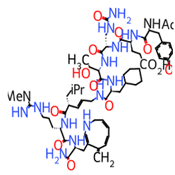 C=C1/C=C\C=C/CN/C=C\1C[C@H](NC(=O)[C@H](CCCNC(=N)NC)NC(=O)[C@@H](/C=C/CNC(=O)[C@H](CC1CCCCC1)NC(=O)[C@@H](NC(=O)[C@H](CNC(N)=O)NC(=O)[C@H](CCC(=O)O)NC(=O)[C@@H](Cc1ccc(O)cc1)NC(C)=O)[C@@H](C)O)CC(C)C)C(N)=O